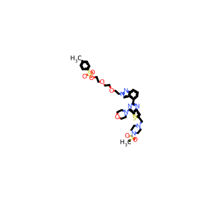 Cc1ccc(S(=O)(=O)OCCOCCOCCn2cc3c(-c4nc(N5CCOCC5)c5sc(CN6CCN(S(C)(=O)=O)CC6)cc5n4)cccc3n2)cc1